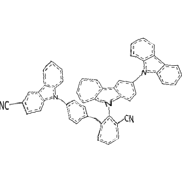 N#Cc1ccc2c(c1)c1ccccc1n2-c1ccc(-c2cccc(C#N)c2-n2c3ccccc3c3cc(-n4c5ccccc5c5ccccc54)ccc32)cc1